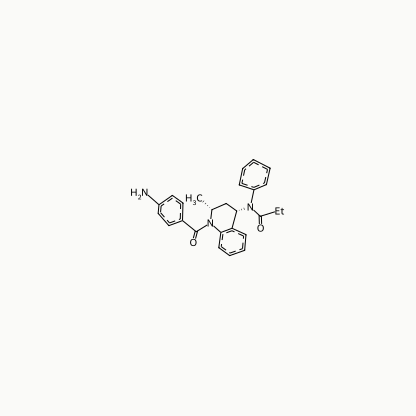 CCC(=O)N(c1ccccc1)[C@H]1C[C@@H](C)N(C(=O)c2ccc(N)cc2)c2ccccc21